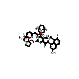 C#Cc1c(F)ccc2cc(O)cc(-c3ncc4c(N5C[C@H]6CC[C@@H](C5)N6C(=O)/C(F)=C/c5ccc(C)cn5)nc(OC[C@@]56CCCN5C[C@H](F)C6)nc4c3F)c12